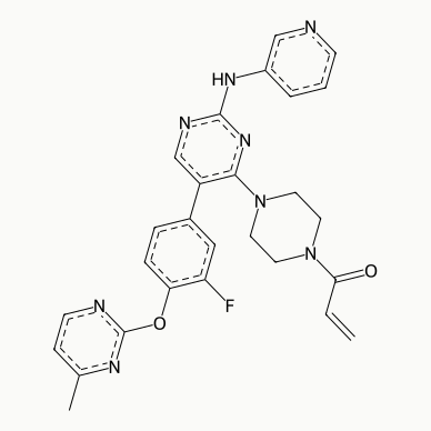 C=CC(=O)N1CCN(c2nc(Nc3cccnc3)ncc2-c2ccc(Oc3nccc(C)n3)c(F)c2)CC1